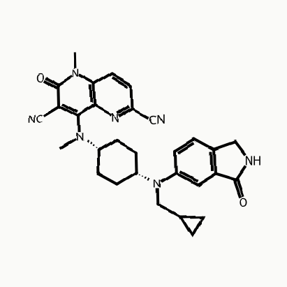 Cn1c(=O)c(C#N)c(N(C)[C@H]2CC[C@@H](N(CC3CC3)c3ccc4c(c3)C(=O)NC4)CC2)c2nc(C#N)ccc21